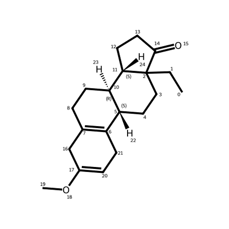 CCC12CC[C@@H]3C4=C(CC[C@H]3[C@@H]1CCC2=O)CC(OC)=CC4